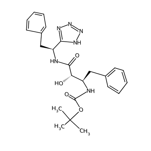 CC(C)(C)OC(=O)N[C@H](Cc1ccccc1)[C@H](O)C(=O)N[C@@H](Cc1ccccc1)c1nnn[nH]1